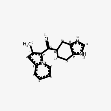 Cc1cc2ccccn2c1C(=O)C1CCc2[nH]cnc2C1